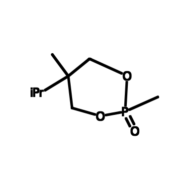 CC(C)C1(C)COP(C)(=O)OC1